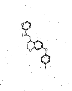 Fc1ccc(Oc2ccc3c(c2)OCCC3CNc2cccnc2)cc1